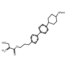 C=C(CO)C(=O)OCCCc1ccc(-c2ccc(C3CCC(CCCCC)CC3)cc2)cc1